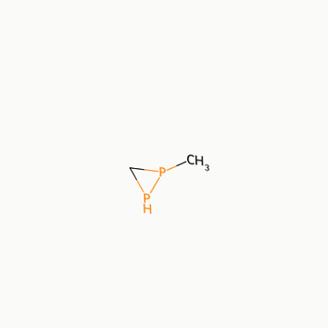 CP1CP1